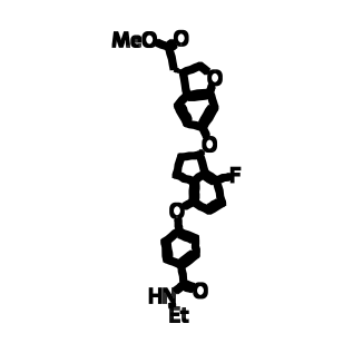 CCNC(=O)c1ccc(Oc2ccc(F)c3c2CC[C@H]3Oc2ccc3c(c2)OC[C@H]3CC(=O)OC)cc1